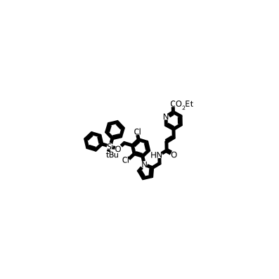 CCOC(=O)c1ccc(C=CC(=O)NCc2cccn2-c2ccc(Cl)c(CO[Si](c3ccccc3)(c3ccccc3)C(C)(C)C)c2Cl)cn1